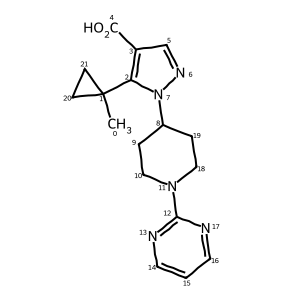 CC1(c2c(C(=O)O)cnn2C2CCN(c3ncccn3)CC2)CC1